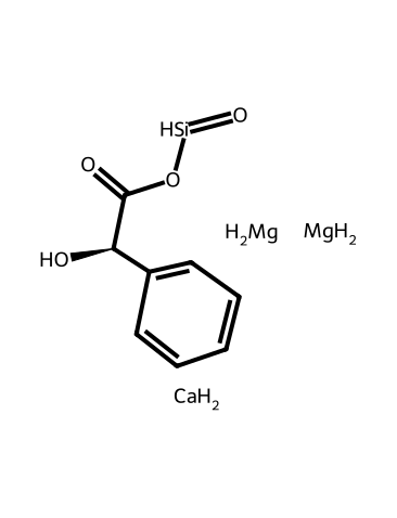 O=[SiH]OC(=O)[C@H](O)c1ccccc1.[CaH2].[MgH2].[MgH2]